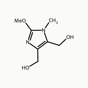 COc1nc(CO)c(CO)n1C